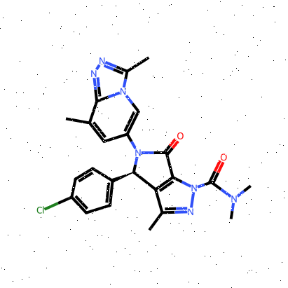 Cc1nn(C(=O)N(C)C)c2c1[C@@H](c1ccc(Cl)cc1)N(c1cc(C)c3nnc(C)n3c1)C2=O